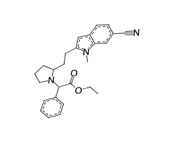 CCOC(=O)C(c1ccccc1)N1CCCC1CCc1cc2ccc(C#N)cc2n1C